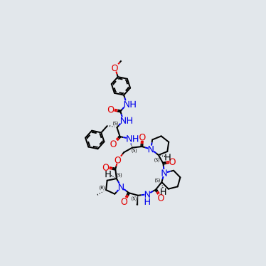 COc1ccc(NC(=O)N[C@@H](Cc2ccccc2)C(=O)N[C@H]2COC(=O)[C@@H]3C[C@@H](C)CN3C(=O)[C@H](C)NC(=O)[C@@H]3CCCCN3C(=O)[C@@H]3CCCCN3C2=O)cc1